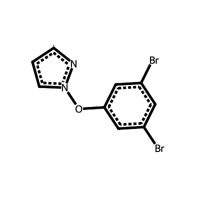 Brc1cc(Br)cc(On2cc[c]n2)c1